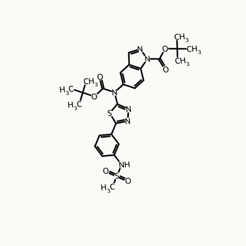 CC(C)(C)OC(=O)N(c1ccc2c(cnn2C(=O)OC(C)(C)C)c1)c1nnc(-c2cccc(NS(C)(=O)=O)c2)s1